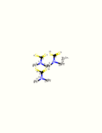 CC(C)N(C(=S)[S-])C(C)C.CC(C)N(C(=S)[S-])C(C)C.CC(C)N(C(=S)[S-])C(C)C.[Zr+3]